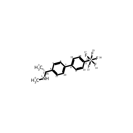 CN[C@H](C)c1ccc(-c2ccc(S(F)(F)(F)(F)F)cc2)cc1